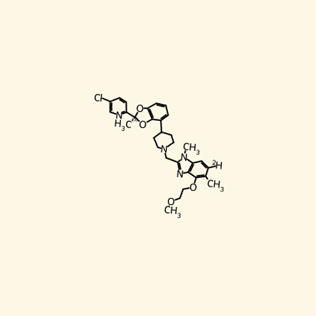 [2H]c1cc2c(nc(CN3CCC(c4cccc5c4O[C@@](C)(c4ccc(Cl)cn4)O5)CC3)n2C)c(OCCOC)c1C